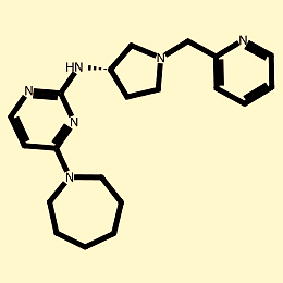 c1ccc(CN2CC[C@H](Nc3nccc(N4CCCCCC4)n3)C2)nc1